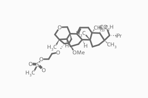 CO[C@@H]1C[C@]23COC[C@](C)([C@@H]2CC[C@H]2C3=CC[C@@]3(C)[C@H](C(=O)O)[C@@](C)([C@H](C)C(C)C)CC[C@]23C)[C@H]1OCCOS(C)(=O)=O